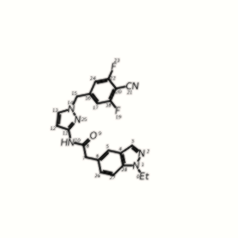 CCn1ncc2cc(CC(=O)Nc3ccn(Cc4cc(F)c(C#N)c(F)c4)n3)ccc21